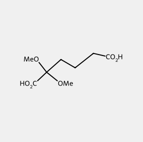 COC(CCCC(=O)O)(OC)C(=O)O